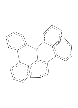 c1ccc([C](c2ccccc2-c2ccccc2)c2ccccc2-c2ccccc2)cc1